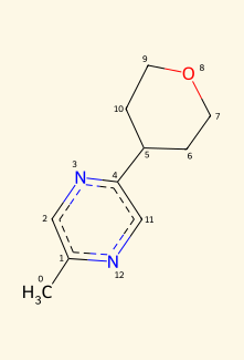 Cc1cnc(C2CCOCC2)cn1